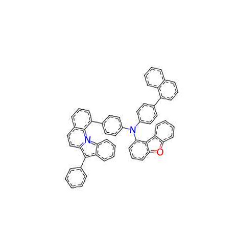 c1ccc(-c2c3ccccc3n3c2ccc2cccc(-c4ccc(N(c5ccc(-c6cccc7ccccc67)cc5)c5cccc6oc7ccccc7c56)cc4)c23)cc1